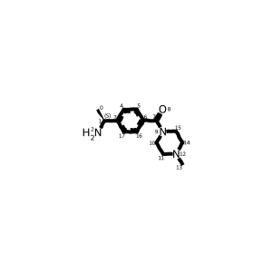 C[C@H](N)c1ccc(C(=O)N2CCN(C)CC2)cc1